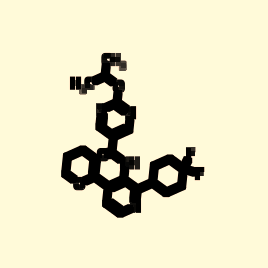 CC(C)Oc1ncc(C(=O)Nc2c(C3=CCCCO3)ccnc2C2CCC(F)(F)CC2)cn1